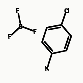 Clc1cc[c]([K])cc1.FB(F)F